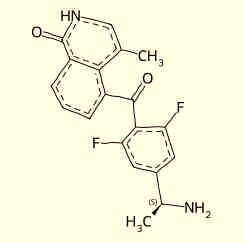 Cc1c[nH]c(=O)c2cccc(C(=O)c3c(F)cc([C@H](C)N)cc3F)c12